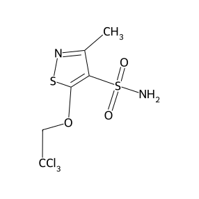 Cc1nsc(OCC(Cl)(Cl)Cl)c1S(N)(=O)=O